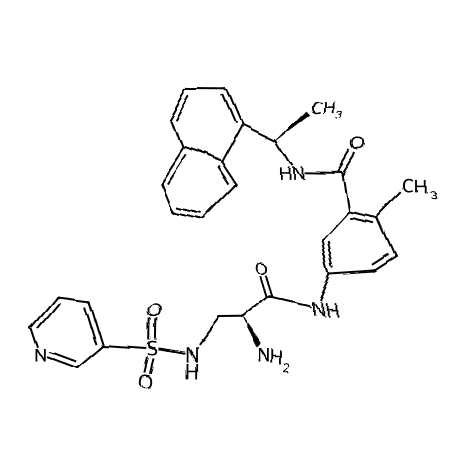 Cc1ccc(NC(=O)[C@@H](N)CNS(=O)(=O)c2cccnc2)cc1C(=O)N[C@H](C)c1cccc2ccccc12